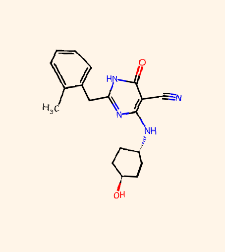 Cc1ccccc1Cc1nc(N[C@H]2CC[C@H](O)CC2)c(C#N)c(=O)[nH]1